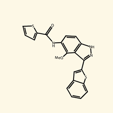 COc1c(NC(=O)c2cccs2)ccc2[nH]nc(-c3cc4ccccc4s3)c12